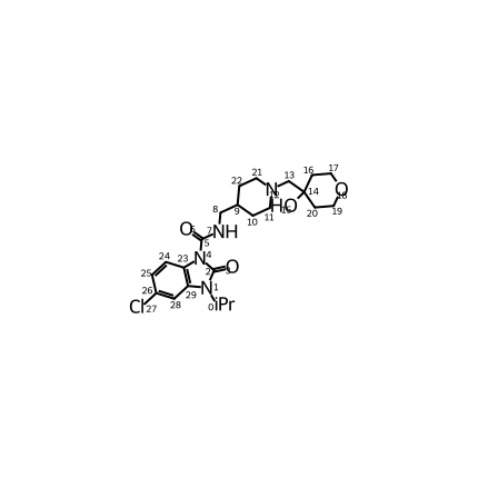 CC(C)n1c(=O)n(C(=O)NCC2CCN(CC3(O)CCOCC3)CC2)c2ccc(Cl)cc21